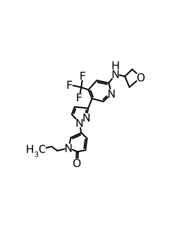 CCCn1cc(-n2ccc(-c3cnc(NC4COC4)cc3C(F)(F)F)n2)ccc1=O